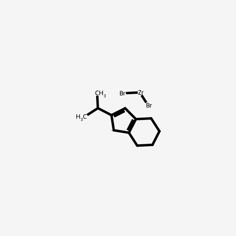 CC(C)C1=CC2=C([CH]1)CCCC2.[Br][Zr][Br]